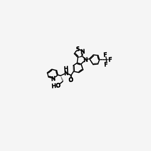 O=C(N[C@H](CO)c1ccccn1)c1ccc2c(c1)c1csnc1n2-c1ccc(C(F)(F)F)cc1